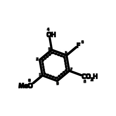 COc1cc(O)c(F)c(C(=O)O)c1